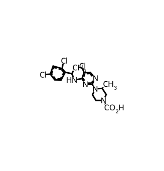 CC(Nc1nc(N2CCN(C(=O)O)C[C@@H]2C)ncc1Cl)c1ccc(Cl)cc1Cl